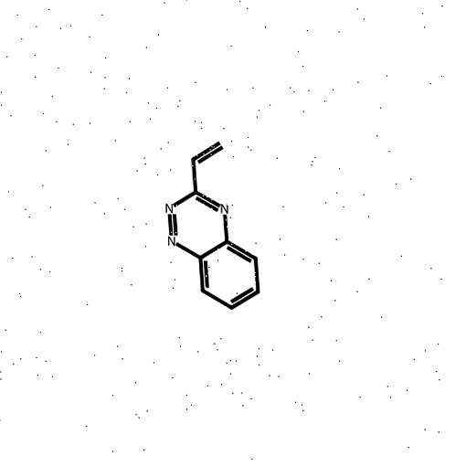 C=Cc1nnc2ccccc2n1